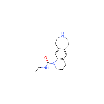 CCNC(=O)N1CCCc2cc3c(cc21)CCNCC3